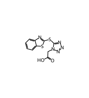 O=C(O)Cn1nnnc1Sc1nc2ccccc2s1